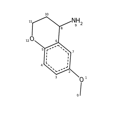 COc1ccc2c(c1)C(N)CCO2